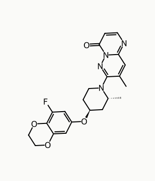 Cc1cc2nccc(=O)n2nc1N1CC[C@H](Oc2cc(F)c3c(c2)OCCO3)C[C@H]1C